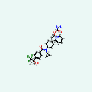 CC(O)(c1ccc(C(=O)N(C2CC2)C2CCC(CCOC(N)=O)(c3ccccn3)CC2)cc1)C(F)(F)F